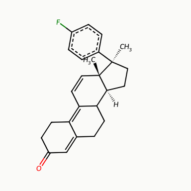 C[C@]12C=CC3=C4CCC(=O)C=C4CCC3[C@@H]1CC[C@]2(C)c1ccc(F)cc1